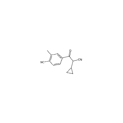 Cc1cc(C(=O)C(C#N)C2CC2)ccc1C#N